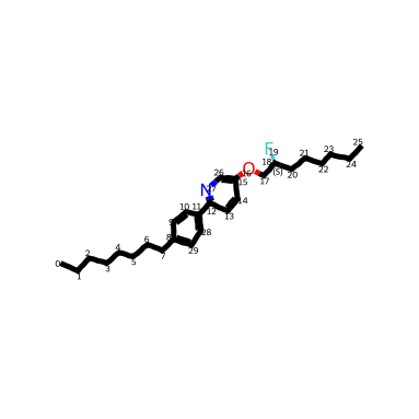 CCCCCCCCc1ccc(-c2ccc(OC[C@@H](F)CCCCCC)cn2)cc1